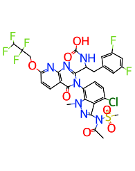 CC(=O)N(c1nn(C)c2c(-n3c(C(Cc4cc(F)cc(F)c4)NC(=O)O)nc4nc(OCC(F)(F)C(F)F)ccc4c3=O)ccc(Cl)c12)S(C)(=O)=O